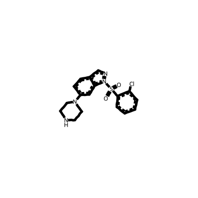 O=S(=O)(c1ccccc1Cl)n1ncc2ccc(N3CCNCC3)cc21